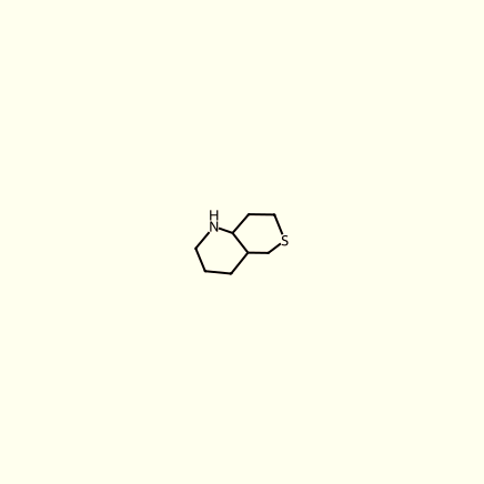 C1CNC2CCSCC2C1